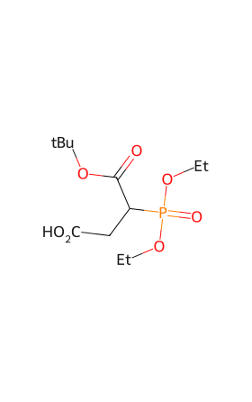 CCOP(=O)(OCC)C(CC(=O)O)C(=O)OC(C)(C)C